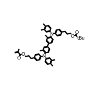 C=C(C)C(=O)OCCCc1ccc(N(c2ccc(C)c(C)c2)c2ccc(-c3ccc(N(c4ccc(CCCOC(=O)C(C)(C)C)cc4)c4ccc(C)c(C)c4)c(C)c3)cc2C)cc1